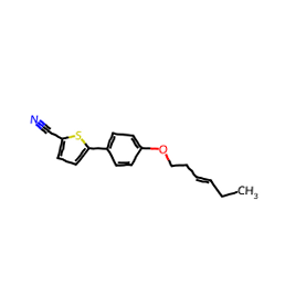 CCC=CCCOc1ccc(-c2ccc(C#N)s2)cc1